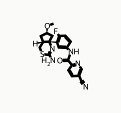 CO[C@@H]1C[C@H]2CSC(N)=N[C@@]2(c2cc(NC(=O)c3ccc(C#N)cn3)ccc2F)C1